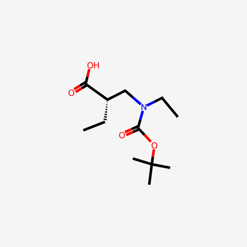 CC[C@@H](CN(CC)C(=O)OC(C)(C)C)C(=O)O